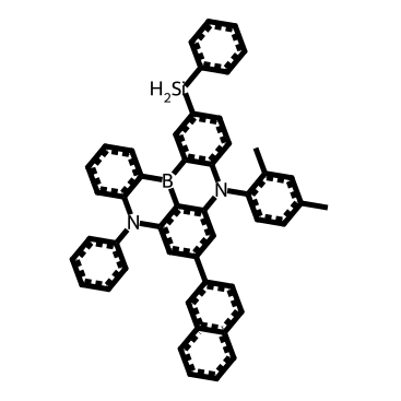 Cc1ccc(N2c3ccc([SiH2]c4ccccc4)cc3B3c4ccccc4N(c4ccccc4)c4cc(-c5ccc6ccccc6c5)cc2c43)c(C)c1